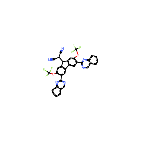 N#CC(C#N)C1c2cc(OC(F)(F)F)c(-c3ncc4ccccc4n3)cc2-c2cc(-c3ncc4ccccc4n3)c(OC(F)(F)F)cc21